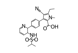 CCc1c(C#N)c(-c2ccc(C3N=CC=CC3NS(=O)(=O)C(C)C)cc2)c(C(=O)O)n1C